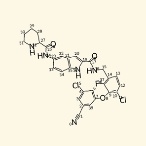 N#Cc1cc(Cl)cc(Oc2c(Cl)ccc(CNC(=O)c3cc4cc(NC(=O)C5CCCCN5)ccc4[nH]3)c2F)c1